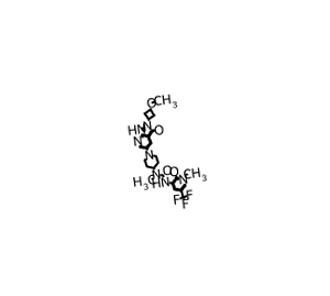 CO[C@H]1C[C@@H](n2[nH]c3ncc(N4CCC(N(C)C(=O)Nc5cc(C(F)(F)F)cn(C)c5=O)CC4)cc3c2=O)C1